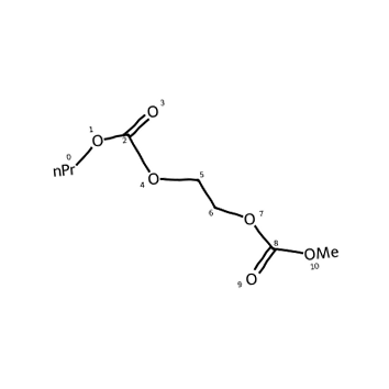 CCCOC(=O)OCCOC(=O)OC